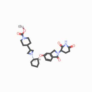 CC(C)(C)OC(=O)N1CCC(C2CN([C@H]3CCCC[C@H]3Oc3ccc4c(c3)CN(C3CCC(=O)NC3=O)C4=O)C2)CC1